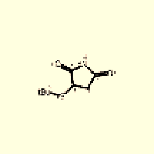 CC(C)(C)SC1CC(=O)NC1=O